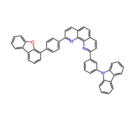 c1cc(-c2ccc3ccc4ccc(-c5ccc(-c6cccc7c6oc6ccccc67)cc5)nc4c3n2)cc(-n2c3ccccc3c3ccccc32)c1